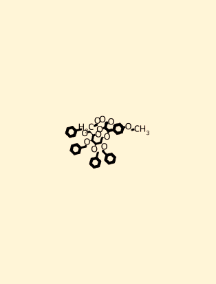 CCOc1ccc2c(O[C@H]3O[C@H](COCc4ccccc4)[C@@H](OCc4ccccc4)[C@H](OCc4ccccc4)[C@@H]3OCc3ccccc3)c(OC(C)=O)c(=O)oc2c1